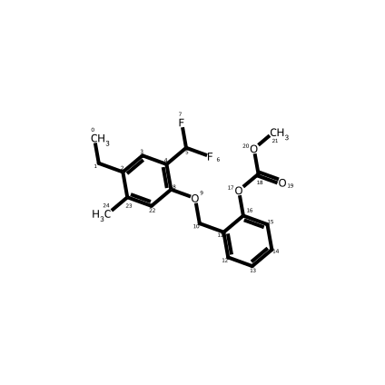 CCc1cc(C(F)F)c(OCc2ccccc2OC(=O)OC)cc1C